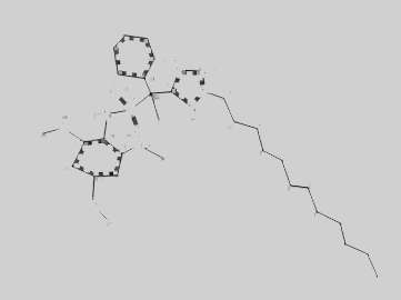 CCCCCCCCCCCCn1nnc(C(C)(c2ccccc2)S(=O)(=O)Nc2c(OC)cc(OC)cc2OC)n1